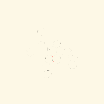 CC1(C)c2ccccc2-c2ccc(N(c3cc(-c4ccccc4)cc(-c4ccccc4)c3)c3cccc4c5ccc6oc7ccccc7c6c5c5ccccc5c34)cc21